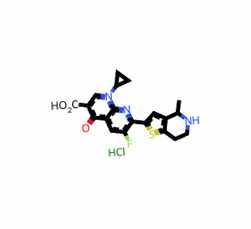 CC1NCCc2sc(-c3nc4c(cc3F)c(=O)c(C(=O)O)cn4C3CC3)cc21.Cl